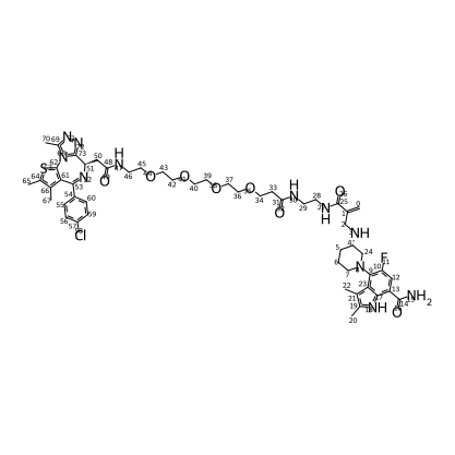 C=C(CN[C@H]1CCCN(c2c(F)cc(C(N)=O)c3[nH]c(C)c(C)c23)C1)C(=O)NCCNC(=O)CCOCCOCCOCCOCCNC(=O)C[C@H]1N=C(c2ccc(Cl)cc2)c2c(sc(C)c2C)-n2c(C)nnc21